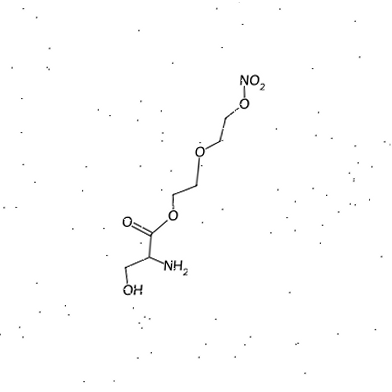 NC(CO)C(=O)OCCOCCO[N+](=O)[O-]